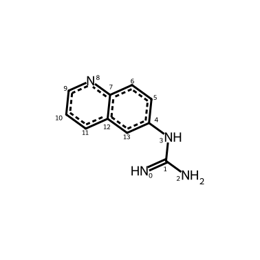 N=C(N)Nc1ccc2ncccc2c1